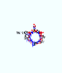 C/C=C/C[C@@H](C)[C@@H](O)[C@H]1C(=O)N[C@@H](CC)C(=O)N(C)[C@H](SCCCN2CCOCC2)C(=O)N(C)[C@@H](CC(C)(C)OCc2ccc(OC)cc2)C(=O)N[C@@H](C(C)C)C(=O)N(C)[C@@H](CC(C)C)C(=O)N[C@@H](C)C(=O)N[C@H](C)C(=O)N(C)[C@@H](CC(C)C)C(=O)N(C)[C@@H](CC(C)C)C(=O)N(C)[C@@H](C(C)C)C(=O)N1C